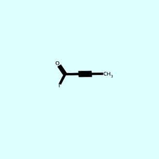 CC#CC(=O)I